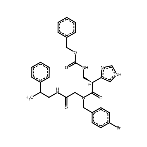 CC(CNC(=O)CN(Cc1ccc(Br)cc1)C(=O)[C@@H](CNC(=O)OCc1ccccc1)c1c[nH]cn1)c1ccccc1